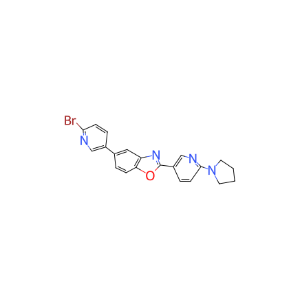 Brc1ccc(-c2ccc3oc(-c4ccc(N5CCCC5)nc4)nc3c2)cn1